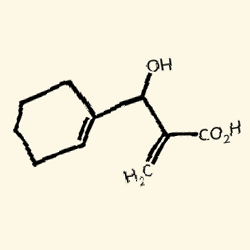 C=C(C(=O)O)C(O)C1=CCCCC1